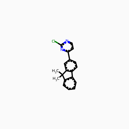 CC1(C)c2ccccc2-c2ccc(-c3ccnc(Cl)n3)cc21